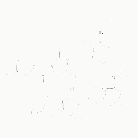 CC(C)Nc1cccc(COc2c(Cl)cc(C(=O)NCC(=O)O)cc2Cl)c1F.CC(C)Nc1cccc(COc2c(Cl)cc(CC(=O)O)cc2Cl)c1F